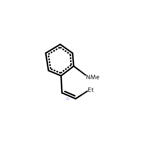 CC/C=C\c1ccccc1NC